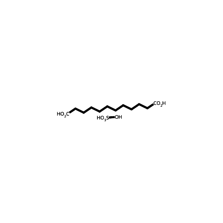 O=C(O)CCCCCCCCCCC(=O)O.O=S(=O)(O)O